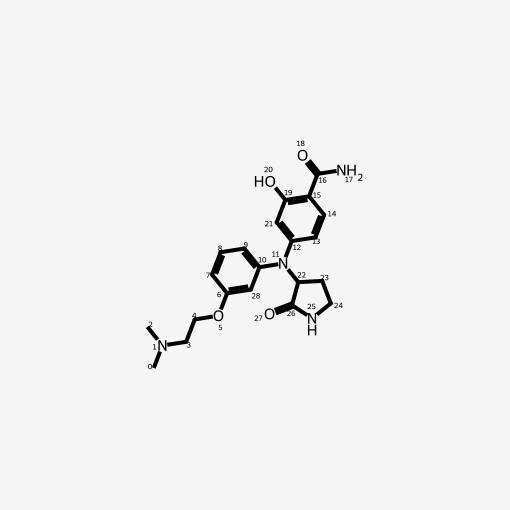 CN(C)CCOc1cccc(N(c2ccc(C(N)=O)c(O)c2)C2CCNC2=O)c1